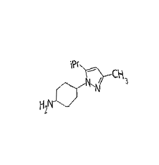 Cc1cc(C(C)C)n(C2CCC(N)CC2)n1